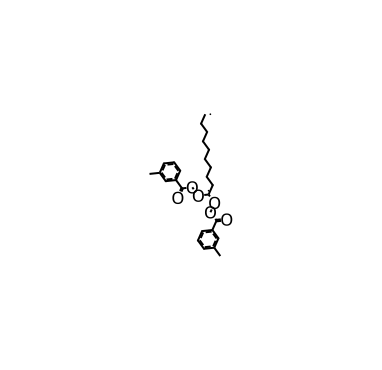 [CH2]CCCCCCCC[C](OOC(=O)c1cccc(C)c1)OOC(=O)c1cccc(C)c1